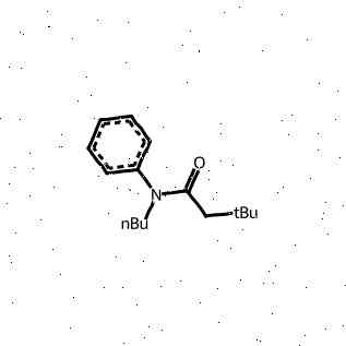 CCCCN(C(=O)CC(C)(C)C)c1ccccc1